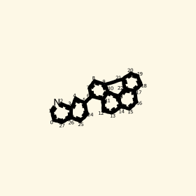 c1cnc2cc(-c3ccc4c5c3ccc3ccc6cccc-4c6c35)ccc2c1